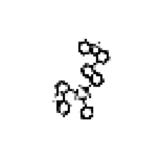 c1ccc(-c2nc(-c3cccc4c(-c5cccc6oc7ccccc7c56)cccc34)nc(-c3cccc4oc5cnccc5c34)n2)cc1